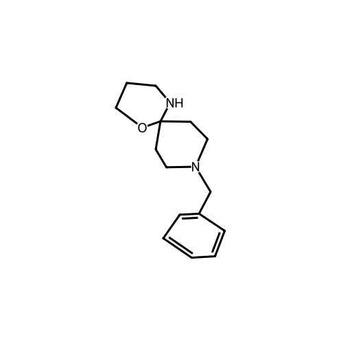 c1ccc(CN2CCC3(CC2)NCCCO3)cc1